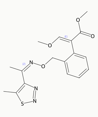 CO/C=C(/C(=O)OC)c1ccccc1CO/N=C(/C)c1nnsc1C